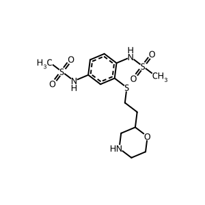 CS(=O)(=O)Nc1ccc(NS(C)(=O)=O)c(SCCC2CNCCO2)c1